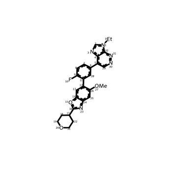 CCn1cnc2c(-c3ccc(F)c(-c4cc5oc(C6CCOCC6)nc5cc4OC)c3)cnnc21